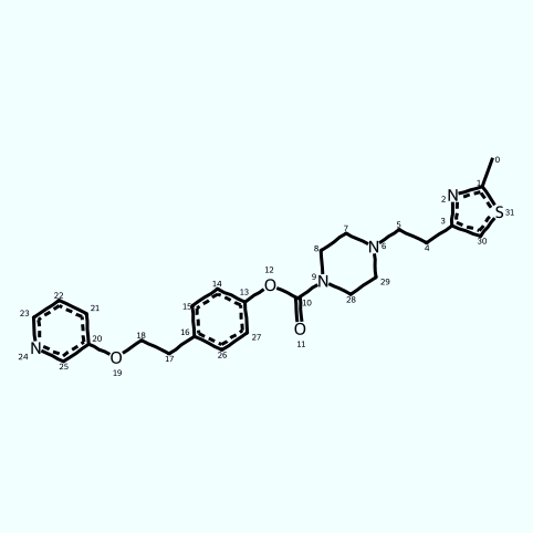 Cc1nc(CCN2CCN(C(=O)Oc3ccc(CCOc4cccnc4)cc3)CC2)cs1